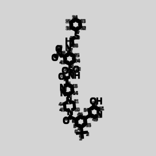 CC(C)(C)c1cc(C(=O)N2CCN(c3ccc(C(=O)NS(=O)(=O)c4ccc(NCCSc5ccccc5)c([N+](=O)[O-])c4)nn3)CC2)cc(-c2cncc(O)c2)c1